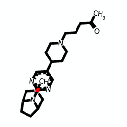 CC(=O)CCCN1CCC(c2cnc(N3C4CCC3CN(C)C4)nc2)CC1